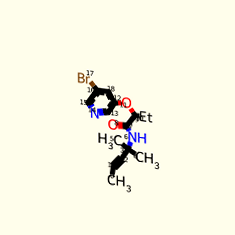 CC#CC(C)(C)NC(=O)C(CC)Oc1cncc(Br)c1